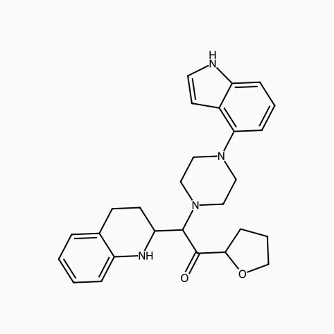 O=C(C1CCCO1)C(C1CCc2ccccc2N1)N1CCN(c2cccc3[nH]ccc23)CC1